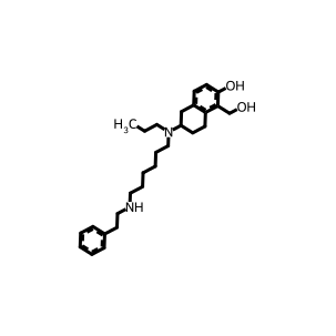 CCCN(CCCCCCNCCc1ccccc1)C1CCc2c(ccc(O)c2CO)C1